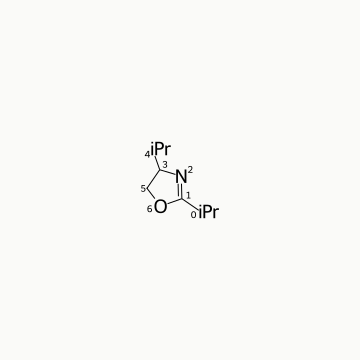 CC(C)C1=NC(C(C)C)CO1